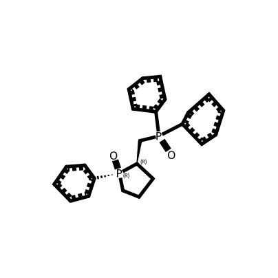 O=P(C[C@H]1CCC[P@]1(=O)c1ccccc1)(c1ccccc1)c1ccccc1